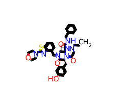 C=CCN1CC(=O)N2[C@@H](Cc3ccc(O)cc3)C(=O)N(Cc3cccc4sc(N5CCOCC5)nc34)C[C@@H]2N1C(=O)NCc1ccccc1